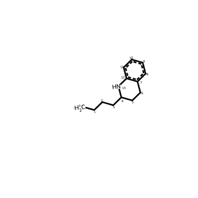 [CH2]CCCC1CCc2ccccc2N1